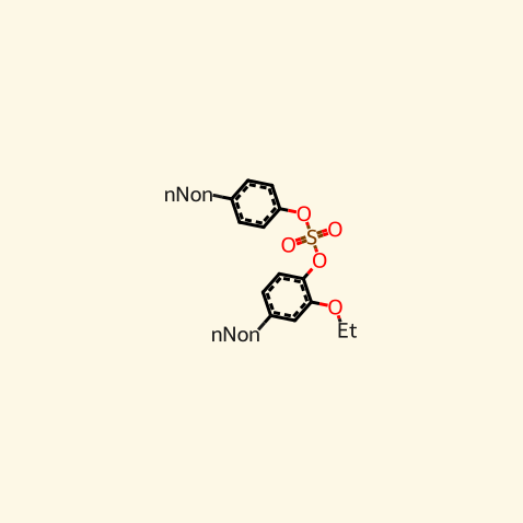 CCCCCCCCCc1ccc(OS(=O)(=O)Oc2ccc(CCCCCCCCC)cc2OCC)cc1